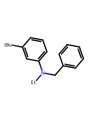 CCN(Cc1ccccc1)c1cccc(C(C)(C)C)c1